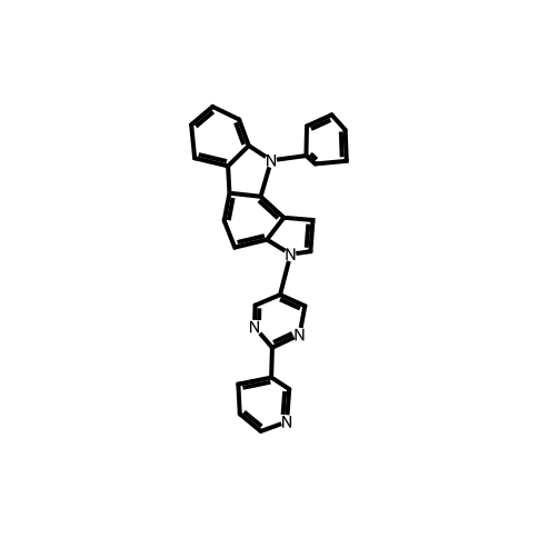 c1ccc(-n2c3ccccc3c3ccc4c(ccn4-c4cnc(-c5cccnc5)nc4)c32)cc1